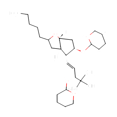 CCCCC(C)(C)[C@@H](/C=C/[C@@H]1[C@H]2CC(CCCCC(=O)O)O[C@@H]2C[C@H]1OC1CCCCO1)OC1CCCCO1